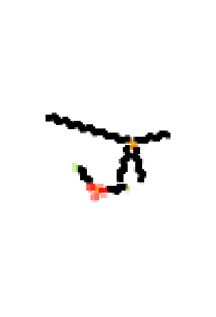 CCCCCCCCCCCCCC[P+](CCCCCC)(CCCCCC)CCCCCC.O=P([O-])(OCC=CF)OCC=CF